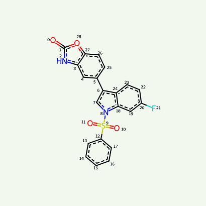 O=c1[nH]c2cc(-c3cn(S(=O)(=O)c4ccccc4)c4cc(F)ccc34)ccc2o1